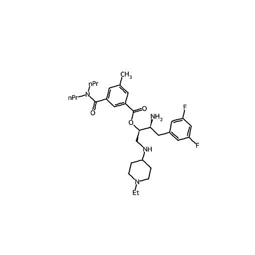 CCCN(CCC)C(=O)c1cc(C)cc(C(=O)O[C@H](CNC2CCN(CC)CC2)[C@@H](N)Cc2cc(F)cc(F)c2)c1